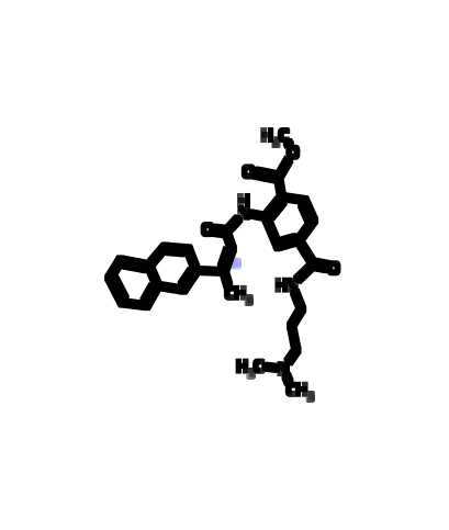 COC(=O)c1ccc(C(=O)NCCCN(C)C)cc1NC(=O)/C=C(/C)c1ccc2ccccc2c1